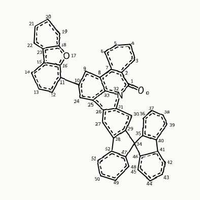 O=c1c2ccccc2c2cc(-c3cccc4c3oc3ccccc34)cc3c4cc5c(cc4n1c23)C1(c2ccccc2-c2ccccc21)c1ccccc1-5